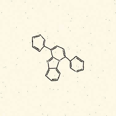 c1ccc(-c2ccc(-c3ccccc3)n3c2nc2ccccc23)cc1